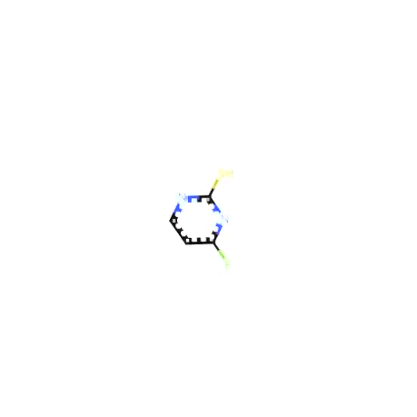 Fc1ccnc(S)n1